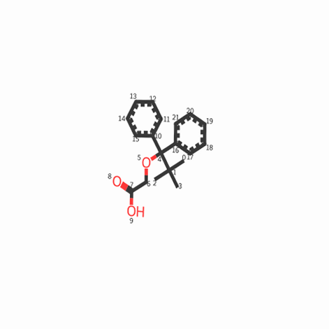 CC(C)(C)C(OCC(=O)O)(c1ccccc1)c1ccccc1